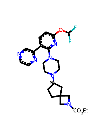 CCOC(=O)N1CC2(CC[C@@H](N3CCN(c4nc(OC(F)F)ccc4-c4cnccn4)CC3)C2)C1